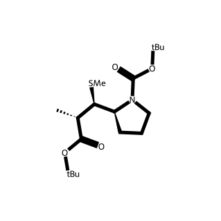 CS[C@H]([C@@H](C)C(=O)OC(C)(C)C)[C@@H]1CCCN1C(=O)OC(C)(C)C